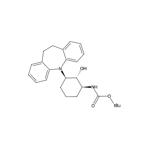 CC(C)(C)OC(=O)N[C@H]1CCC[C@@H](N2c3ccccc3CCc3ccccc32)[C@@H]1O